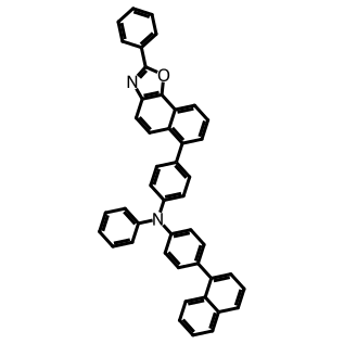 c1ccc(-c2nc3ccc4c(-c5ccc(N(c6ccccc6)c6ccc(-c7cccc8ccccc78)cc6)cc5)cccc4c3o2)cc1